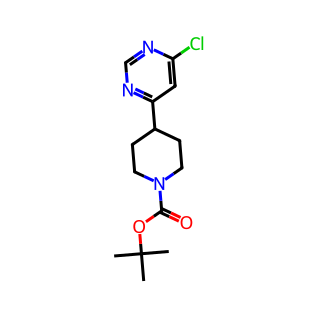 CC(C)(C)OC(=O)N1CCC(c2cc(Cl)ncn2)CC1